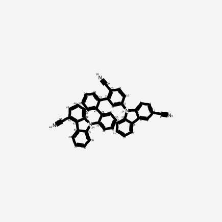 N#Cc1ccc2c(c1)c1ccccc1n2-c1ccc(C#N)c(-c2ccccc2-c2ccccc2-n2c3ccccc3c3c(C#N)cccc32)c1